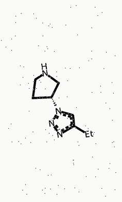 CCc1cn([C@@H]2CCNC2)nn1